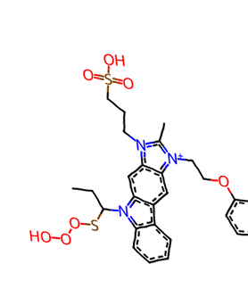 CCC(SOOO)n1c2ccccc2c2cc3c(cc21)n(CCCS(=O)(=O)O)c(C)[n+]3CCOc1ccccc1